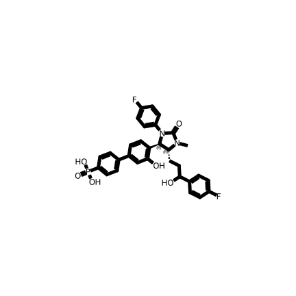 CN1C(=O)N(c2ccc(F)cc2)[C@H](c2ccc(-c3ccc(P(=O)(O)O)cc3)cc2O)[C@H]1CCC(O)c1ccc(F)cc1